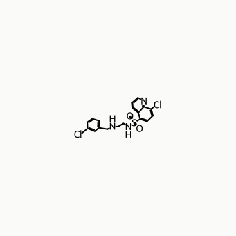 O=S(=O)(NCCNCc1cccc(Cl)c1)c1ccc(Cl)c2ncccc12